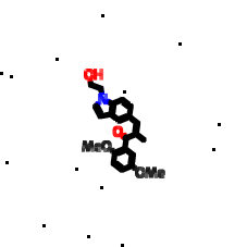 COc1ccc(OC)c(C(=O)C(C)=Cc2ccc3c(ccn3CCO)c2)c1